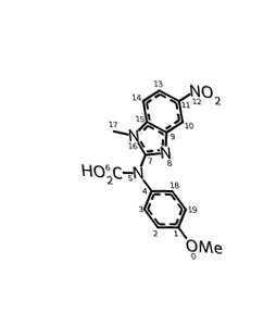 COc1ccc(N(C(=O)O)c2nc3cc([N+](=O)[O-])ccc3n2C)cc1